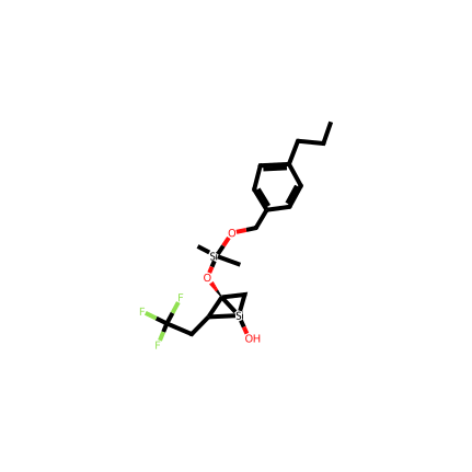 CCCc1ccc(CO[Si](C)(C)O[C@@]23C[Si]2(O)C3CC(F)(F)F)cc1